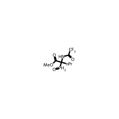 CCCC(NC(=O)C(F)(F)F)([PH2]=O)C(=O)OC